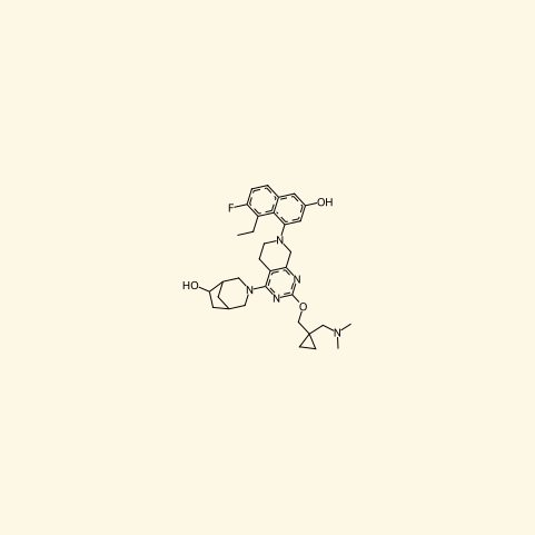 CCc1c(F)ccc2cc(O)cc(N3CCc4c(nc(OCC5(CN(C)C)CC5)nc4N4CC5CC(O)C(C5)C4)C3)c12